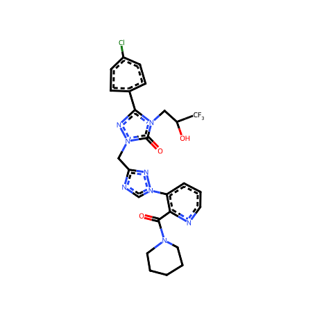 O=C(c1ncccc1-n1cnc(Cn2nc(-c3ccc(Cl)cc3)n(CC(O)C(F)(F)F)c2=O)n1)N1CCCCC1